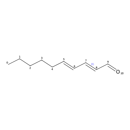 CCCCCC=C/C=C/C=O